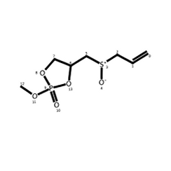 C=CC[S+]([O-])CC1COP(=O)(OC)O1